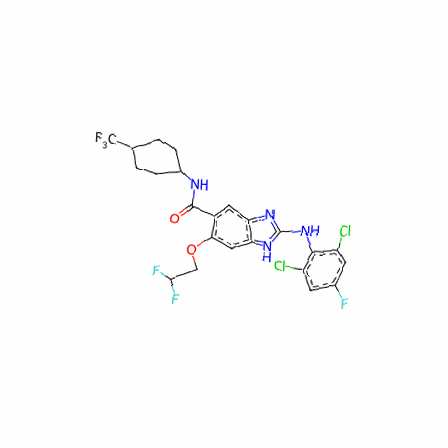 O=C(NC1CCC(C(F)(F)F)CC1)c1cc2nc(Nc3c(Cl)cc(F)cc3Cl)[nH]c2cc1OCC(F)F